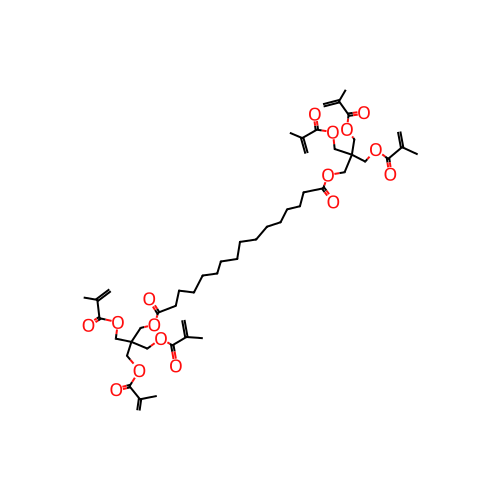 C=C(C)C(=O)OCC(COC(=O)CCCCCCCCCCCCCCC(=O)OCC(COC(=O)C(=C)C)(COC(=O)C(=C)C)COC(=O)C(=C)C)(COC(=O)C(=C)C)COC(=O)C(=C)C